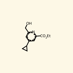 CCOC(=O)c1cc(C2CC2)cc(CO)n1